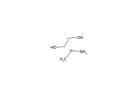 CO[SiH3].OCCO